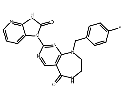 O=C1NCCN(Cc2ccc(F)cc2)c2nc(-n3c(=O)[nH]c4ncccc43)ncc21